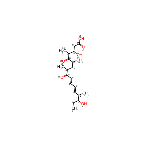 CCC(O)C(C)C=CC=CC(=O)C(C)CC(C)C(=O)C(C)C(O)CC(=O)O